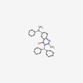 Cc1nc2ccc(N(C)c3ccccc3)cc2c(=O)n1C(c1ccccc1)c1ccncc1